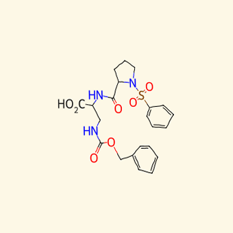 O=C(NCC(NC(=O)C1CCCN1S(=O)(=O)c1ccccc1)C(=O)O)OCc1ccccc1